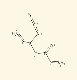 C=CC(=O)OC(C=C)N=C=S